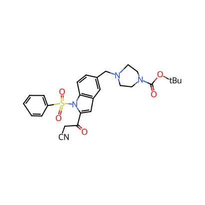 CC(C)(C)OC(=O)N1CCN(Cc2ccc3c(c2)cc(C(=O)CC#N)n3S(=O)(=O)c2ccccc2)CC1